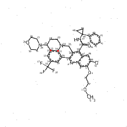 COCCOc1cc2nc(-c3cccc(C(F)(F)F)c3)c(CN3CCC(N4CCOCC4)CC3)c(C(=O)NC3(c4ccccc4)CC3)c2cc1Cl